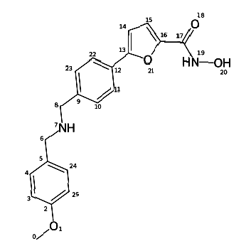 COc1ccc(CNCc2ccc(-c3ccc(C(=O)NO)o3)cc2)cc1